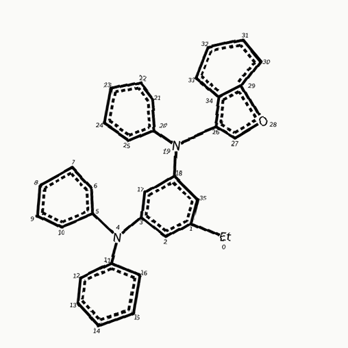 CCc1cc(N(c2ccccc2)c2ccccc2)cc(N(c2ccccc2)c2coc3ccccc23)c1